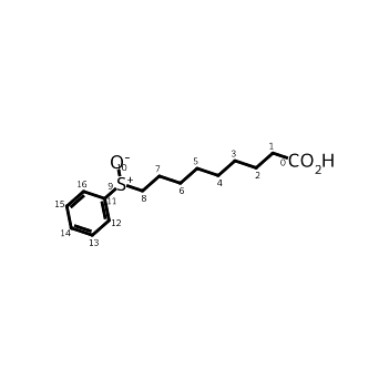 O=C(O)CCCCCCCC[S+]([O-])c1ccccc1